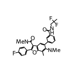 CNC(=O)c1c(-c2ccc(F)cc2)oc2c(C)c(NC)c(-c3cccc(C(=O)NCC(C)(F)F)c3)cc12